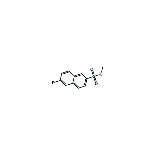 COS(=O)(=O)c1ccc2cc(F)ccc2c1